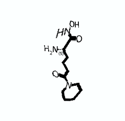 N[C@@H](CCCC(=O)N1CCCCC1)C(=O)NO